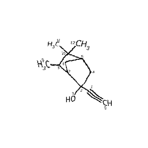 C#CC1(O)CC2CC1C(C)C2(C)C